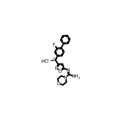 C[C@@H](c1ccc(-c2ccccc2)c(F)c1)c1cc(N=C(N)N2CCOCC2)on1.Cl